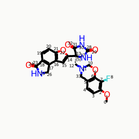 COc1ccc2c(c1F)OCN(C[C@@]1(c3cc4c5c(ccc4o3)C(=O)NC5)NC(=O)NC1=O)C2